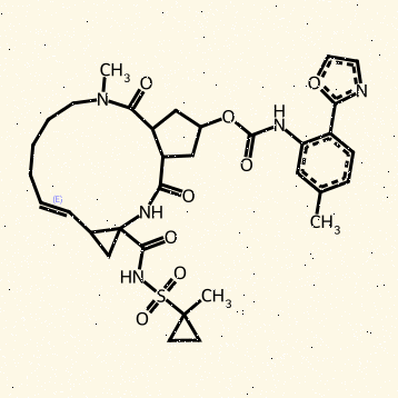 Cc1ccc(-c2ncco2)c(NC(=O)OC2CC3C(=O)NC4(C(=O)NS(=O)(=O)C5(C)CC5)CC4/C=C/CCCCN(C)C(=O)C3C2)c1